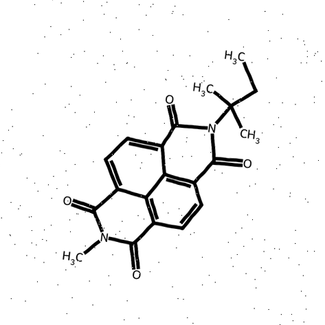 CCC(C)(C)N1C(=O)c2ccc3c4c(ccc(c24)C1=O)C(=O)N(C)C3=O